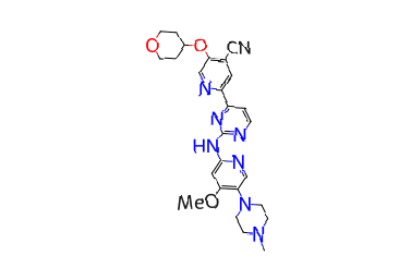 COc1cc(Nc2nccc(-c3cc(C#N)c(OC4CCOCC4)cn3)n2)ncc1N1CCN(C)CC1